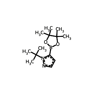 CC(C)(C)n1nccc1B1OC(C)(C)C(C)(C)O1